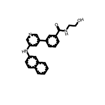 O=C(NCCO)c1cccc(-c2cncc(Nc3ccc4ccccc4c3)c2)c1